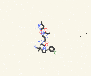 Cc1cc(Oc2ncc(C(=O)N[C@H](C)C(=O)N3C(C(C)(C)C#N)CC[C@H]3c3cccc(Cl)c3)nc2C)c(=O)[nH]n1